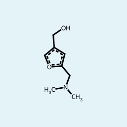 CN(C)Cc1cc(CO)co1